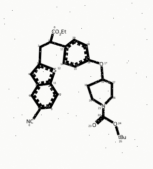 CCOC(=O)C(Cc1cc2cc(C#N)ccc2s1)c1ccc(OC2CCN(C(=O)OC(C)(C)C)CC2)cc1